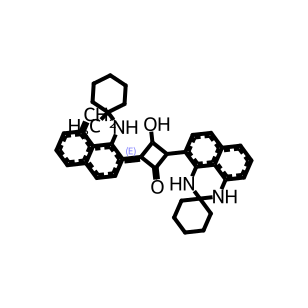 C=c1cccc2cc/c(=C3\C(=O)C(c4ccc5cccc6c5c4NC4(CCCCC4)N6)C3O)c(NC3(C)CCCCC3)c12